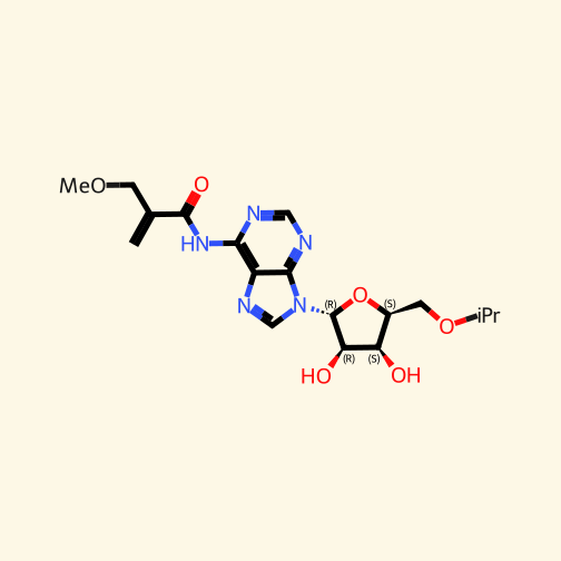 C=C(COC)C(=O)Nc1ncnc2c1ncn2[C@@H]1O[C@@H](COC(C)C)[C@@H](O)[C@H]1O